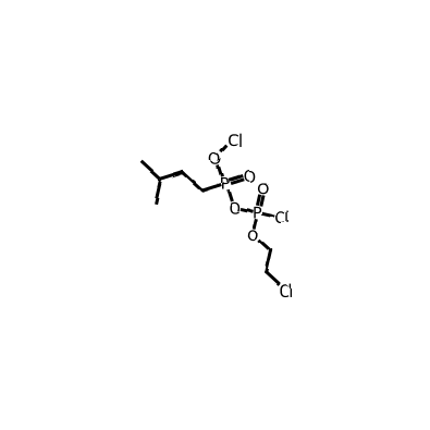 CC(C)CCP(=O)(OCl)OP(=O)(Cl)OCCCl